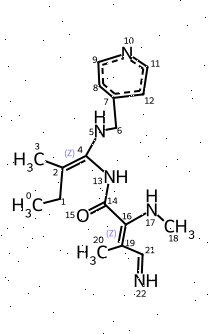 CC/C(C)=C(/NCc1ccncc1)NC(=O)/C(NC)=C(\C)C=N